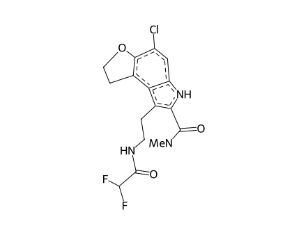 CNC(=O)c1[nH]c2cc(Cl)c3c(c2c1CCNC(=O)C(F)F)CCO3